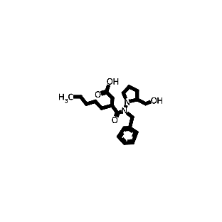 CCCCCC(CC(=O)O)C(=O)N(Cc1ccccc1)N1CCCC1CO